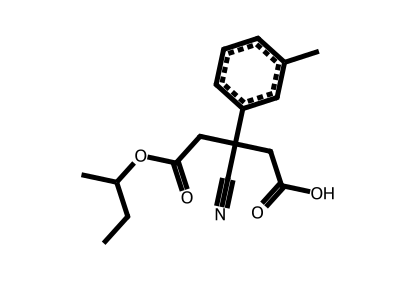 CCC(C)OC(=O)CC(C#N)(CC(=O)O)c1cccc(C)c1